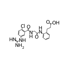 N=C(N)Nc1ccc(Cl)c(C(=O)NCC(=O)Nc2ccccc2CCC(=O)O)c1